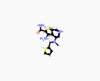 CN(Cc1cccs1)c1cncc2sc(C(N)=O)c(N)c12